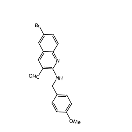 COc1ccc(CNc2nc3ccc(Br)cc3cc2C=O)cc1